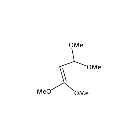 COC(=CC(OC)OC)OC